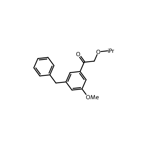 COc1cc(Cc2ccccc2)cc(C(=O)COC(C)C)c1